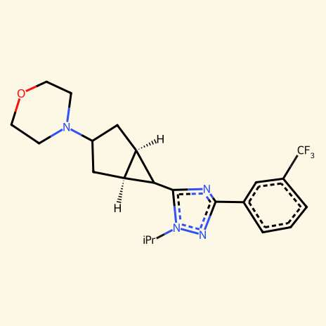 CC(C)n1nc(-c2cccc(C(F)(F)F)c2)nc1C1[C@H]2CC(N3CCOCC3)C[C@@H]12